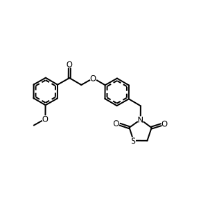 COc1cccc(C(=O)COc2ccc(CN3C(=O)CSC3=O)cc2)c1